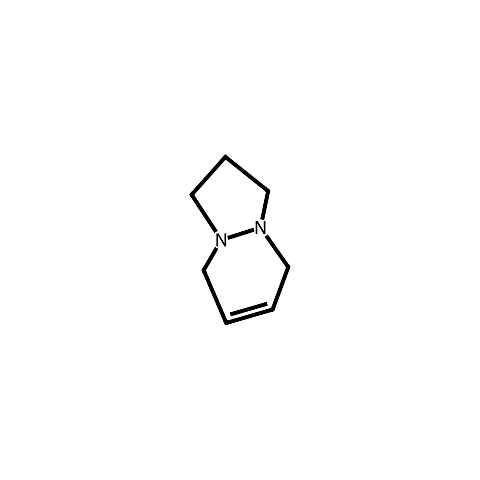 C1=CCN2CCCN2C1